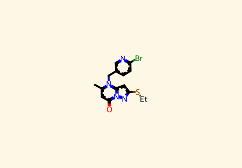 CCSc1cc2n(Cc3ccc(Br)nc3)c(C)cc(=O)n2n1